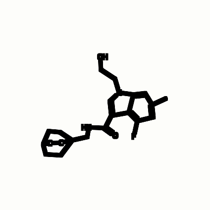 Cc1cc(F)c2c(C(=O)NCC34CCC(CC3)CC4)cn(CCO)c2c1